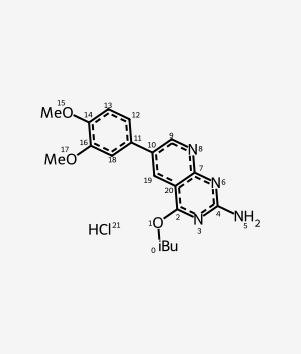 CCC(C)Oc1nc(N)nc2ncc(-c3ccc(OC)c(OC)c3)cc12.Cl